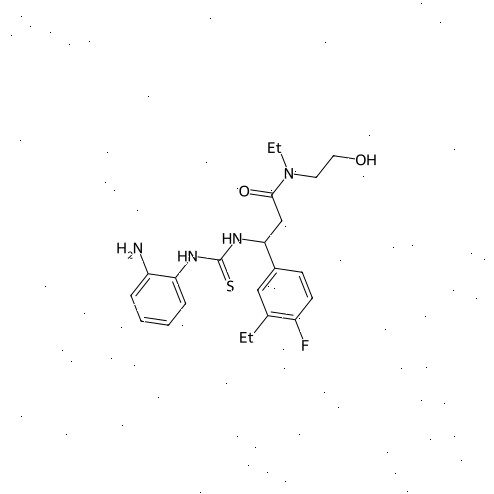 CCc1cc(C(CC(=O)N(CC)CCO)NC(=S)Nc2ccccc2N)ccc1F